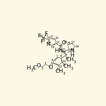 COCCOc1ccc(C(C)[C@@H](NC(=O)c2ccc(C(F)(F)F)nc2)C2CCCN2)c(C)c1C